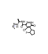 C=C(N/N=N\C)NC(=O)c1n[nH]c(=O)c(C2CCCC2F)c1Cl